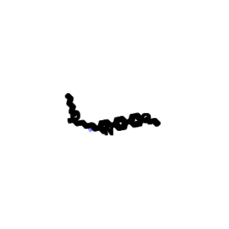 C=CCOc1ccc(-c2ccc(-c3ccc(/C=C/CCCC(C)OCCCCC)cn3)cc2)cc1